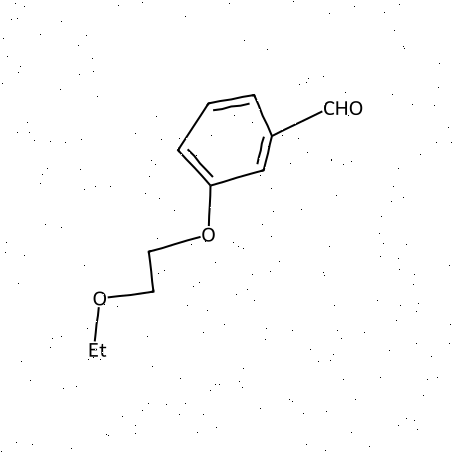 CCOCCOc1cccc(C=O)c1